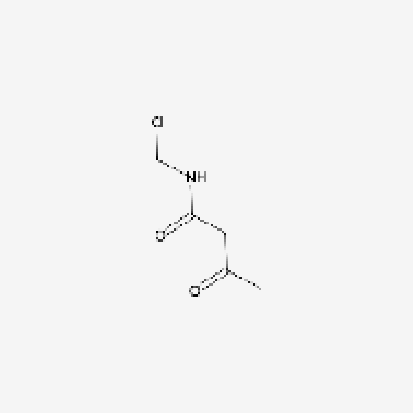 CC(=O)CC(=O)NCCl